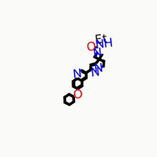 CCNC(=O)N1CC2(CCn3nc(-c4cnc5ccc(OC6CCCCC6)cc5c4)cc32)C1